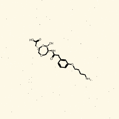 NCCCCOc1cccc(CC(=O)N[C@H]2COC[C@H](CC(=O)O)OB2O)c1